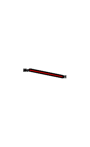 COCCOCCOCCOCCOCCOCCOCCOCCOCCOCCOCCOCCOCCOCCOCCOCCOCCOCCOCCOCCOCCOCCOCCOCCOCCOCCOCCOCCOCCOCCOCCOCCOCCOCCOCCOCCO